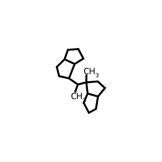 CC(C1CCC2CCCC21)C1(C)CCC2CCCC21